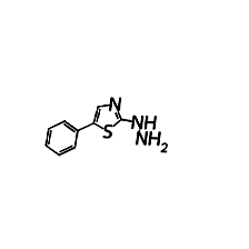 NNc1ncc(-c2ccccc2)s1